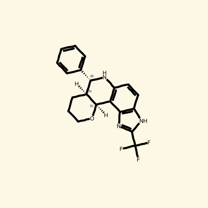 FC(F)(F)c1nc2c3c(ccc2[nH]1)N[C@@H](c1ccccc1)[C@@H]1CCCO[C@H]31